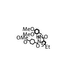 CCc1cc(C(=O)NCc2ccc(OC)c(OC)c2)c(NC(=O)C2CCC(C(=O)OC)CC2)s1